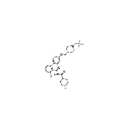 CC(C)(F)CN1CCC(COc2ccc(-c3cccc(F)c3C(=O)NC(=O)C3CCNCC3)cc2)CC1